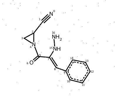 N#CC1CN1C(=O)C(=Cc1ccccc1)NN